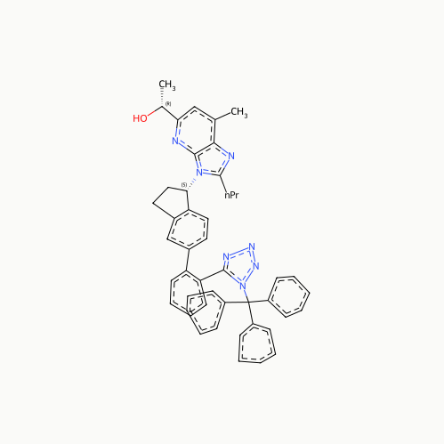 CCCc1nc2c(C)cc([C@@H](C)O)nc2n1[C@H]1CCc2cc(-c3ccccc3-c3nnnn3C(c3ccccc3)(c3ccccc3)c3ccccc3)ccc21